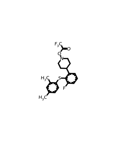 Cc1ccc(Sc2c(F)cccc2C2CCN(OC(=O)C(F)(F)F)CC2)c(C)c1